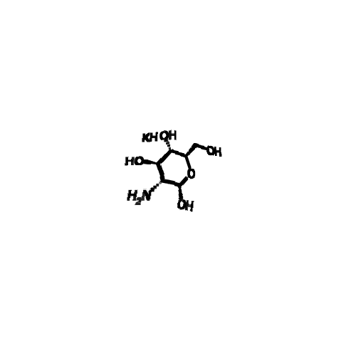 N[C@@H]1[C@@H](O)[C@H](O)[C@@H](CO)O[C@H]1O.[KH]